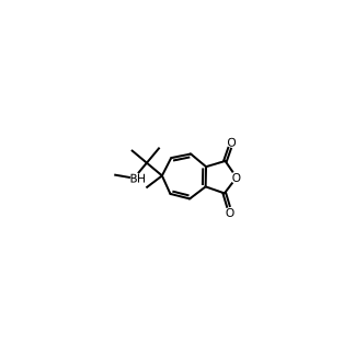 CBC(C)(C)C1(C)C=CC2=C(C=C1)C(=O)OC2=O